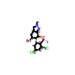 C[C@@H](Oc1cc(Br)cc2cn(C)nc12)c1ccc(Cl)cc1Cl